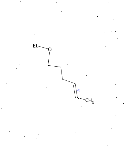 [CH2]COCCC/C=C/C